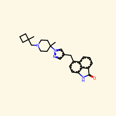 CC1(CN2CCC(C)(n3cc(Cc4ccc5c6c(cccc46)C(=O)N5)cn3)CC2)CCC1